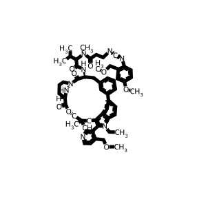 CCn1c(-c2cnccc2COC)c2c3cc(ccc31)-c1cccc(c1)C[C@H](NC(=O)C(C(C)C)N(C)C(=O)CCN=C=Nc1ccc(OC)cc1COC)C(=O)N1CCC[C@H](N1)C(=O)OCC(C)(C)C2